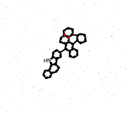 c1ccc(-c2ccccc2-c2c3ccccc3c(-c3ccc4[nH]c5c6ccccc6ccc5c4c3)c3ccccc23)cc1